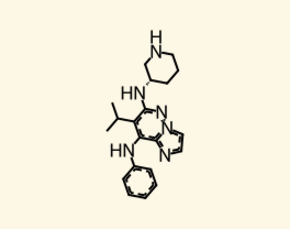 CC(C)c1c(N[C@H]2CCCNC2)nn2ccnc2c1Nc1ccccc1